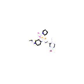 Cc1nc2ccc(N(CC[C@@H]3CN(C(=O)O)CCN3)S(=O)(=O)c3ccccc3[N+](=O)[O-])cc2s1